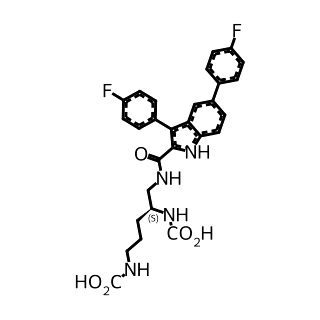 O=C(O)NCCC[C@@H](CNC(=O)c1[nH]c2ccc(-c3ccc(F)cc3)cc2c1-c1ccc(F)cc1)NC(=O)O